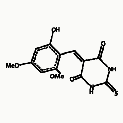 COc1cc(O)c(C=C2C(=O)NC(=S)NC2=O)c(OC)c1